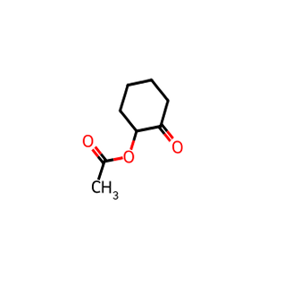 CC(=O)OC1CCCCC1=O